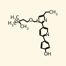 CCc1cn(COCC[Si](C)(C)C)c(-c2ccc(-c3ccc(O)cc3)nc2)n1